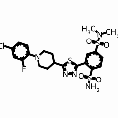 CN(C)S(=O)(=O)c1ccc(S(N)(=O)=O)c(-c2nnc(C3CCN(c4ccc(Cl)cc4F)CC3)s2)c1